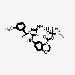 Cc1cccc(C(=O)n2nc(N)nc2Nc2ccc3c(c2)N(C(=O)OC(C)(C)C)CCO3)c1